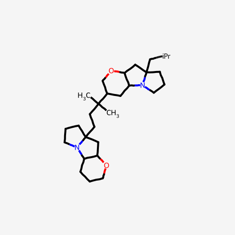 CC(C)CC12CCCN1C1CC(C(C)(C)CCC34CCCN3C3CCCOC3C4)COC1C2